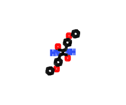 O=C1NC(c2ccc(Oc3ccccc3)cc2)=C2C(=O)NC(c3ccc(Oc4ccccc4)cc3)=C12